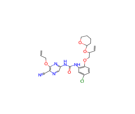 C=CCOc1nc(NC(=O)Nc2cc(Cl)ccc2OCC(C=C)OC2CCCCO2)cnc1C#N